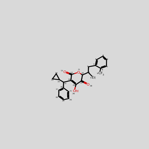 CCC(Cc1ccccc1C(F)(F)F)C1OC(=O)C(C(c2ccccc2)C2CC2)=C(O)C1=O